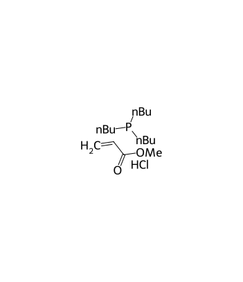 C=CC(=O)OC.CCCCP(CCCC)CCCC.Cl